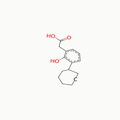 O=C(O)Cc1cccc(C2CCCCCC2)c1O